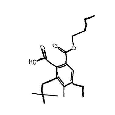 CCCCOC(=O)c1cc(CC)c(C)c(CC(C)(C)C)c1C(=O)O